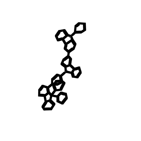 c1ccc(-n2c3ccccc3c3cc(-c4ccc5c(c4)c4ccccc4n5-c4ccc(-c5cccc6c5C(c5ccccc5)(c5ccccc5)c5ccccc5-6)cc4)ccc32)cc1